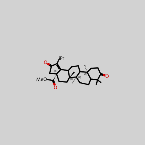 COC(=O)[C@@]12CC[C@]3(C)C(CCC4[C@@]5(C)CCC(=O)C(C)(C)C5CC[C@]43C)C1=C(C(C)C)C(=O)C2